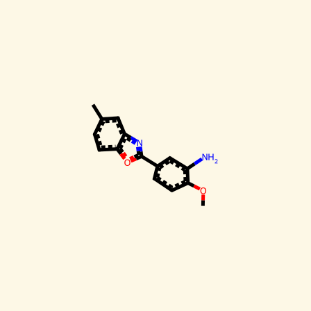 COc1ccc(-c2nc3cc(C)ccc3o2)cc1N